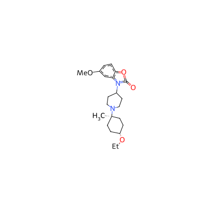 CCO[C@H]1CC[C@](C)(N2CCC(n3c(=O)oc4ccc(OC)cc43)CC2)CC1